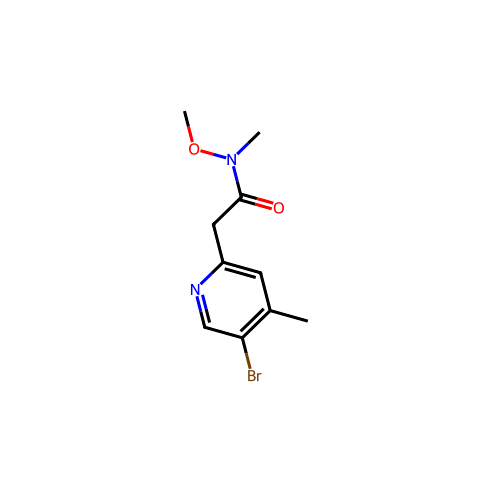 CON(C)C(=O)Cc1cc(C)c(Br)cn1